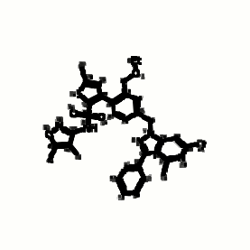 CCOCc1cc(Cn2nc(-c3ccccc3)c3c(C)nc(CC)cc32)ccc1-c1cc(C)sc1S(=O)(=O)Nc1noc(C)c1C